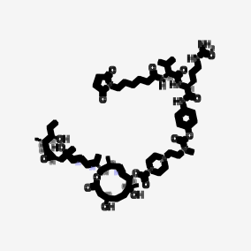 CC[C@H](O)[C@@H](C)[C@H]1O[C@@H]1CC(C)(O)/C=C/C=C(\C)[C@H]1OC(=O)C[C@H](O)CC[C@@](C)(O)[C@@H](OC(=O)N2CCN(CCN(C)C(=O)Oc3ccc(NC(=O)[C@H](CCCNC(N)=O)NC(=O)[C@@H](NC(=O)CCCCCN4C(=O)C=CC4=O)C(C)C)cc3)CC2)/C=C/[C@@H]1C